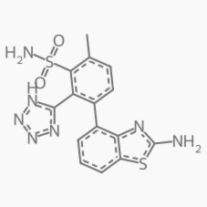 Cc1ccc(-c2cccc3sc(N)nc23)c(-c2nnn[nH]2)c1S(N)(=O)=O